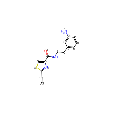 C#Cc1nc(C(=O)NCCc2cccc(N)c2)cs1